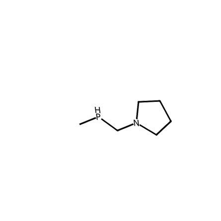 CPCN1CCCC1